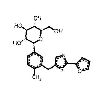 Cc1ccc([C@@H]2O[C@H](CO)[C@@H](O)[C@H](O)[C@H]2O)cc1Cc1cnc(-c2ccco2)s1